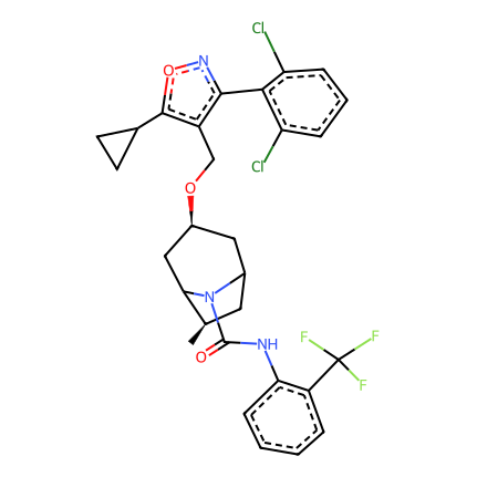 C[C@@H]1CC2C[C@H](OCc3c(-c4c(Cl)cccc4Cl)noc3C3CC3)CC1N2C(=O)Nc1ccccc1C(F)(F)F